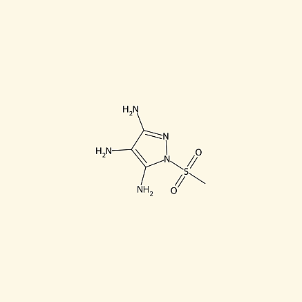 CS(=O)(=O)n1nc(N)c(N)c1N